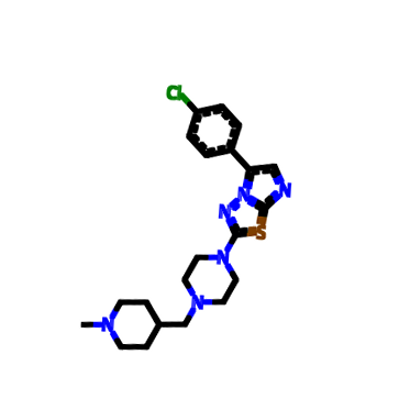 CN1CCC(CN2CCN(c3nn4c(-c5ccc(Cl)cc5)cnc4s3)CC2)CC1